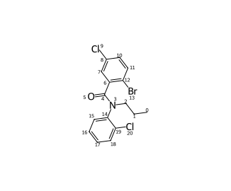 CCCN(C(=O)c1cc(Cl)ccc1Br)c1ccccc1Cl